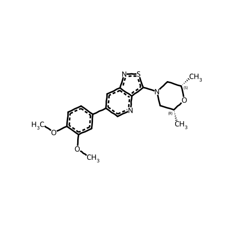 COc1ccc(-c2cnc3c(N4C[C@@H](C)O[C@@H](C)C4)snc3c2)cc1OC